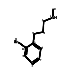 CNCCCc1ccccc1Br